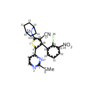 CSc1nccc(-c2sc(N3C4CCC3CC4)c(C#N)c2-c2cccc([N+](=O)[O-])c2F)n1